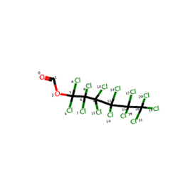 O=[C]OC(Cl)(Cl)C(Cl)(Cl)C(Cl)(Cl)C(Cl)(Cl)C(Cl)(Cl)C(Cl)(Cl)Cl